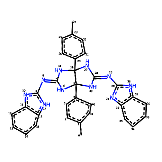 Cc1ccc(C23NC(=Nc4nc5ccccc5[nH]4)NC2(c2ccc(C)cc2)NC(=Nc2nc4ccccc4[nH]2)N3)cc1